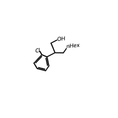 CCCCCCCC(CO)c1ccccc1Cl